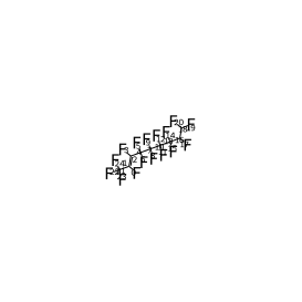 FC(=C(F)C(F)(F)C(F)(F)C(F)(F)C(F)(F)C(F)C(F)F)C(F)(F)F